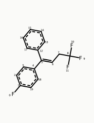 Fc1ccc(C(=CCC(F)(F)F)c2ccccc2)cc1